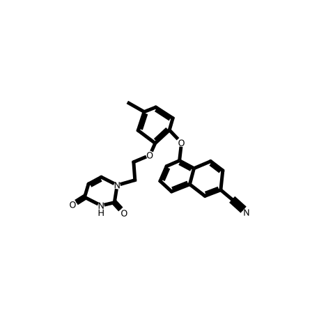 Cc1ccc(Oc2cccc3cc(C#N)ccc23)c(OCCn2ccc(=O)[nH]c2=O)c1